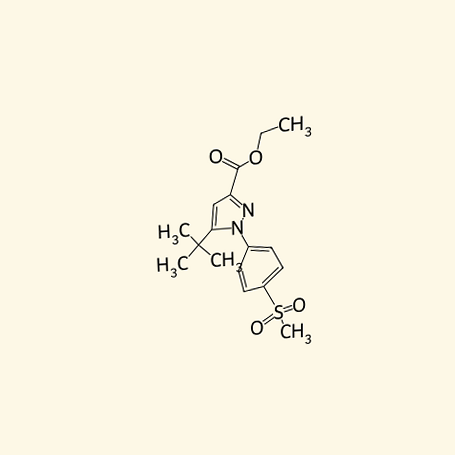 CCOC(=O)c1cc(C(C)(C)C)n(-c2ccc(S(C)(=O)=O)cc2)n1